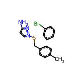 Brc1ccccc1.Cc1ccc(CSn2ccc(N)n2)cc1